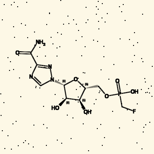 NC(=O)c1ncn([C@@H]2O[C@H](COP(=O)(O)CF)[C@@H](O)[C@H]2O)n1